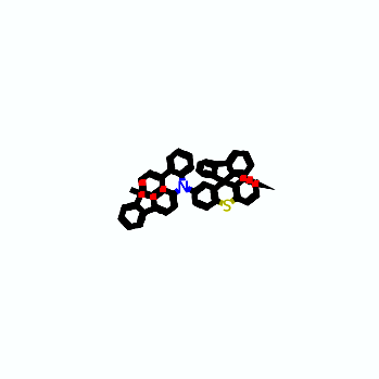 CC1(C)c2ccccc2-c2ccc(N(c3ccc4c(c3)C3(c5ccccc5-c5ccccc53)c3c(ccc5ccccc35)S4)c3ccccc3-c3ccccc3)cc21